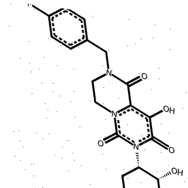 O=C1c2c(O)c(=O)n([C@H]3CCCC[C@H]3O)c(=O)n2CCN1Cc1ccc(F)cc1